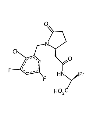 CC(C)[C@H](NC(=O)C[C@@H]1CCC(=O)N1Cc1cc(F)cc(F)c1Cl)C(=O)O